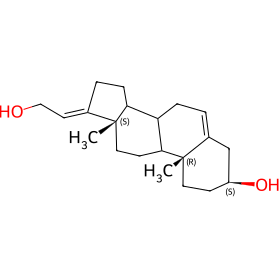 C[C@]12CC[C@H](O)CC1=CCC1C2CC[C@]2(C)C(=CCO)CCC12